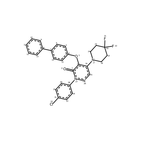 O=c1c(Oc2ccc(-c3ccccc3)cc2)c(N2CCC(F)(F)CC2)cnn1-c1ccc(Cl)cc1